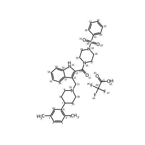 Cc1ccc(C)c(C2CCN(Cc3c(C(=O)N4CCN(S(=O)(=O)c5ccccc5)CC4)[nH]c4ccccc34)CC2)c1.O=C(O)C(F)(F)F